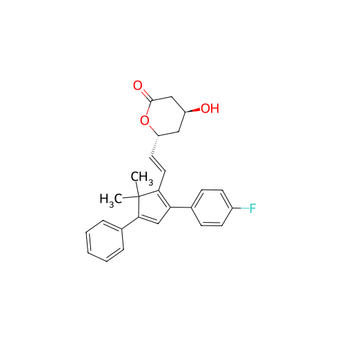 CC1(C)C(c2ccccc2)=CC(c2ccc(F)cc2)=C1C=C[C@H]1C[C@H](O)CC(=O)O1